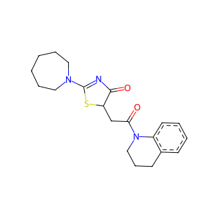 O=C1N=C(N2CCCCCC2)SC1CC(=O)N1CCCc2ccccc21